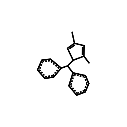 CC1=C[C](C(c2ccccc2)c2ccccc2)C(C)=C1